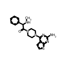 CNC(C(=O)N1CCN(c2nc(N)nc3sccc23)CC1)c1ccccc1